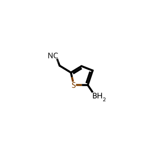 Bc1ccc(CC#N)s1